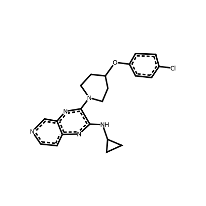 Clc1ccc(OC2CCN(c3nc4cnccc4nc3NC3CC3)CC2)cc1